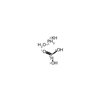 O.O=[PH](O)O.P.[KH]